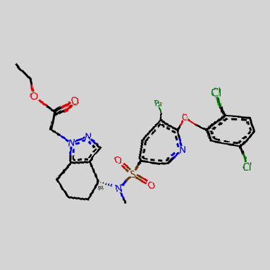 CCOC(=O)Cn1ncc2c1CCC[C@H]2N(C)S(=O)(=O)c1cnc(Oc2cc(Cl)ccc2Cl)c(Br)c1